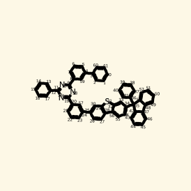 c1ccc(-c2cccc(-c3nc(-c4ccccc4)nc(-c4cccc(-c5ccc6c(c5)sc5cc(C7(c8ccccc8)c8ccccc8-c8ccccc87)ccc56)c4)n3)c2)cc1